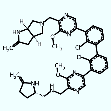 C=C1CC[C@@H](CNCc2ncc(-c3cccc(-c4cccc(-c5cnc(CN6C[C@H]7CC(=C)N[C@H]7C6)c(OC)n5)c4Cl)c3Cl)nc2OC)N1